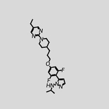 CCc1cnc(N2CCC(CCCOc3cc(F)c(-c4ccnn4NC(C)C)c(F)c3)CC2)nc1